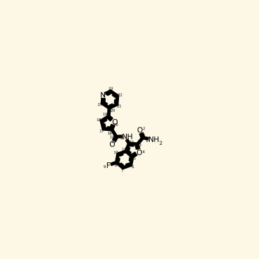 NC(=O)c1oc2ccc(F)cc2c1NC(=O)c1ccc(-c2cccnc2)o1